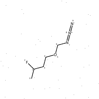 CC(F)CCOCN=[N+]=[N-]